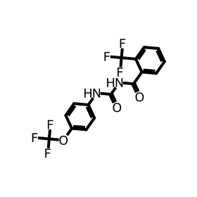 O=C(NC(=O)c1ccccc1C(F)(F)F)Nc1ccc(OC(F)(F)F)cc1